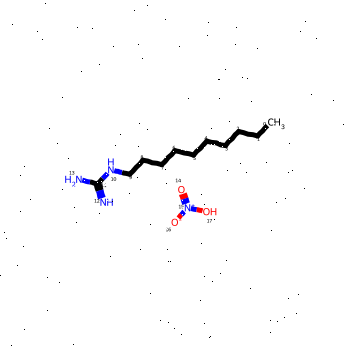 CCCCCCCCCCNC(=N)N.O=[N+]([O-])O